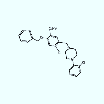 COc1cc(CN2CCN(c3ccccc3Cl)CC2)c(Cl)cc1OCc1ccccc1